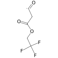 O=[C]CC(=O)OCC(F)(F)F